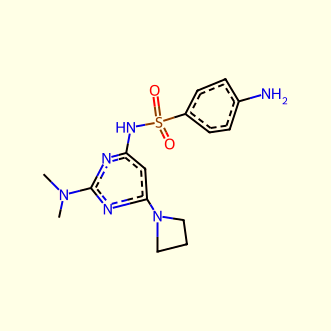 CN(C)c1nc(NS(=O)(=O)c2ccc(N)cc2)cc(N2CCC2)n1